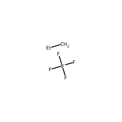 F[B-](F)(F)F.[CH2]CC